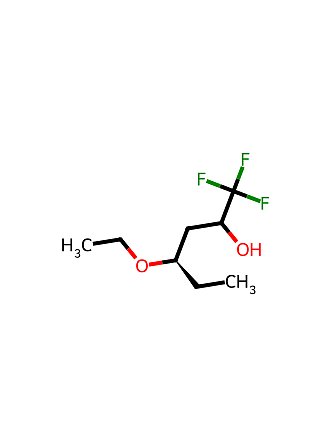 CCO[C@H](CC)CC(O)C(F)(F)F